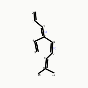 C=C/C=C(C=C)/C=C\C=C(C)C